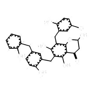 CC1CC(=O)c2c(O)c(Cc3cc(Cc4ccccc4O)ccc3O)c(O)c(Cc3cc(Cl)ccc3O)c2O1